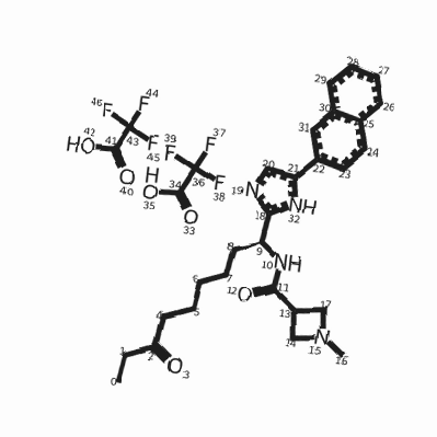 CCC(=O)CCCCC[C@H](NC(=O)C1CN(C)C1)c1ncc(-c2ccc3ccccc3c2)[nH]1.O=C(O)C(F)(F)F.O=C(O)C(F)(F)F